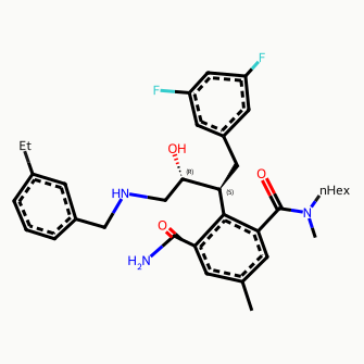 CCCCCCN(C)C(=O)c1cc(C)cc(C(N)=O)c1[C@H](Cc1cc(F)cc(F)c1)[C@@H](O)CNCc1cccc(CC)c1